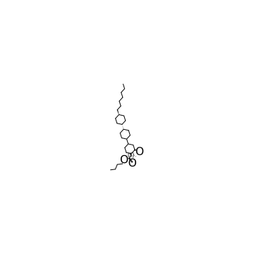 CCCCCCC[C@H]1CC[C@H](C2CCC(C3CC[C@](C)(C(=O)OCCCC)C(=O)C3)CC2)CC1